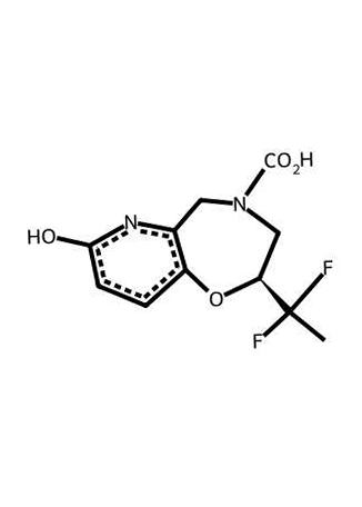 CC(F)(F)[C@@H]1CN(C(=O)O)Cc2nc(O)ccc2O1